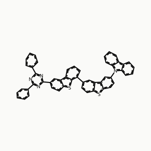 c1ccc(-c2nc(-c3ccccc3)nc(-c3ccc4sc5c(-c6ccc7sc8ccc(-n9c%10ccccc%10c%10ccccc%109)cc8c7c6)cccc5c4c3)n2)cc1